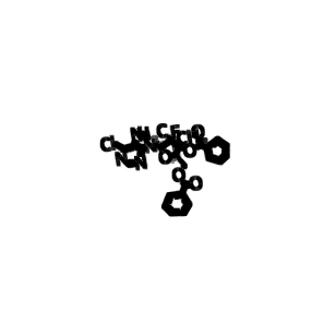 C[C@]1(F)[C@H](n2cnc3c(Cl)ncnc32)O[C@H](COC(=O)c2ccccc2)[C@]1(C)OC(=O)c1ccccc1